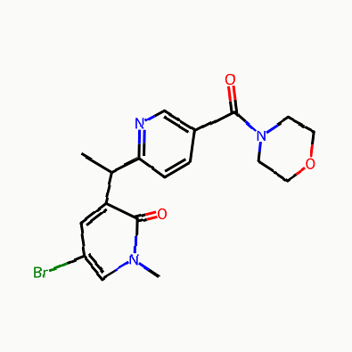 CC(c1ccc(C(=O)N2CCOCC2)cn1)c1cc(Br)cn(C)c1=O